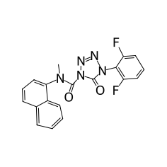 CN(C(=O)n1nnn(-c2c(F)cccc2F)c1=O)c1cccc2ccccc12